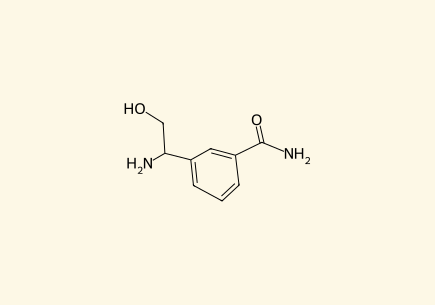 NC(=O)c1cccc(C(N)CO)c1